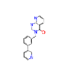 O=c1c2cccnc2ncn1Cc1cccc(-c2cccnc2)c1